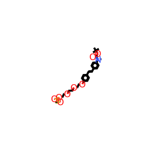 CN(C(=O)OC(C)(C)C)c1ccc(/C=C/c2ccc(OCCOCCOCCOS(C)(=O)=O)cc2)cc1